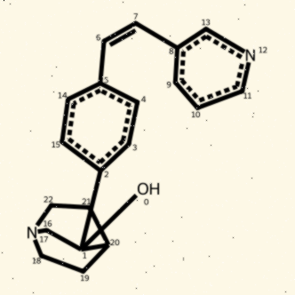 OC1(c2ccc(/C=C\c3cccnc3)cc2)CN2CCC1CC2